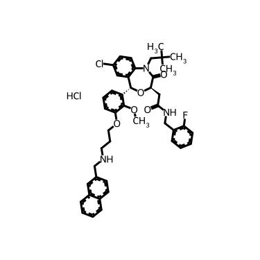 COc1c(OCCCNCc2ccc3ccccc3c2)cccc1[C@H]1O[C@H](CC(=O)NCc2ccccc2F)C(=O)N(CC(C)(C)C)c2ccc(Cl)cc21.Cl